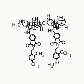 COc1ccc(CCN2C(=O)c3ccc(NC(=N[C@H]4C[C@H]5C[C@@H]([C@@H]4C)C5(C)C)N4CCN[C@@H](C)C4)cc3C2=O)c(OC)c1.Cc1ccc(CCN2C(=O)c3ccc(NC(=N[C@H]4C[C@H]5C[C@@H]([C@@H]4C)C5(C)C)N4CCN[C@@H](C)C4)cc3C2=O)c(C)c1